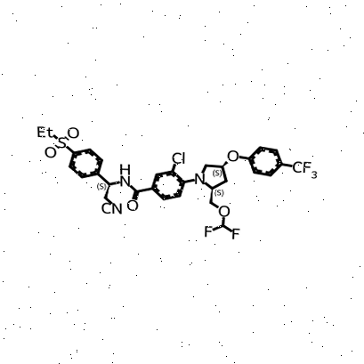 CCS(=O)(=O)c1ccc([C@H](CC#N)NC(=O)c2ccc(N3C[C@@H](Oc4ccc(C(F)(F)F)cc4)C[C@H]3COC(F)F)c(Cl)c2)cc1